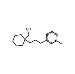 Cc1cc(CCCC2(CO)CCCCC2)ccn1